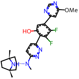 COc1cc(-c2cc(O)c(-c3ccc(N(C)[C@@H]4C[C@]5(C)CC[C@](C)(C4)N5)nn3)c(F)c2F)ncn1